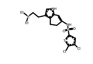 CCN(CC)CCc1c[nH]c2c1CCC(NS(=O)(=O)c1cc(Cl)c(Cl)s1)=C2